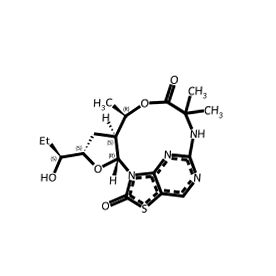 CC[C@H](O)[C@@H]1C[C@@H]2[C@@H](O1)n1c(=O)sc3cnc(nc31)NC(C)(C)C(=O)O[C@@H]2C